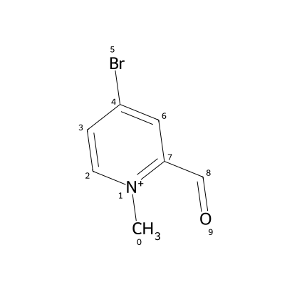 C[n+]1ccc(Br)cc1C=O